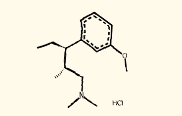 CC[C@@H](c1cccc(OC)c1)[C@@H](C)CN(C)C.Cl